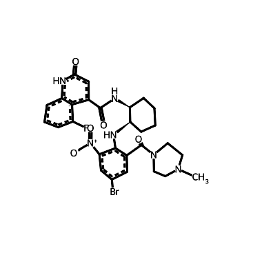 CN1CCN(C(=O)c2cc(Br)cc([N+](=O)[O-])c2N[C@@H]2CCCC[C@@H]2NC(=O)c2cc(=O)[nH]c3cccc(F)c23)CC1